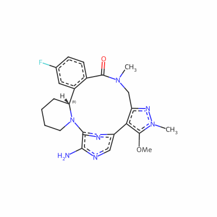 COc1c2c(nn1C)CN(C)C(=O)c1ccc(F)cc1[C@H]1CCCCN1c1nc-2cnc1N